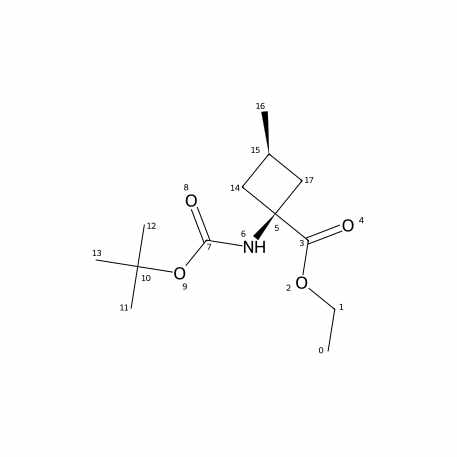 CCOC(=O)[C@]1(NC(=O)OC(C)(C)C)C[C@@H](C)C1